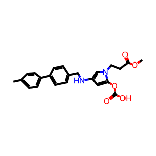 COC(=O)CCn1cc(NCc2ccc(-c3ccc(C)cc3)cc2)cc1OC(=O)O